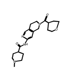 CN1CCC(C(=O)Nc2cc3c(cn2)CCN(C(=O)C2CCOCC2)C3)CC1